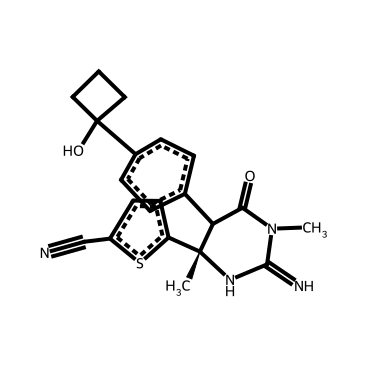 CN1C(=N)N[C@](C)(c2ccc(C#N)s2)C(c2ccc(C3(O)CCC3)cc2)C1=O